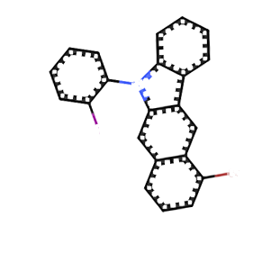 Brc1cccc2cc3c(cc12)c1ccccc1n3-c1ccccc1I